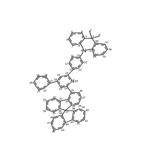 CC1(C)c2ccccc2N(c2ccc(-c3cc(-c4ccccc4)cc(-c4cccc5c4-c4ccccc4C54c5ccccc5-c5ccccc54)n3)cc2)c2ccccc21